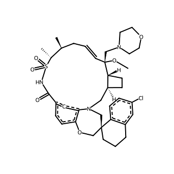 CO[C@@]1(CN2CCOCC2)/C=C/C[C@H](C)[C@@H](C)S(=O)(=O)NC(=O)c2ccc3c(c2)N(C[C@@H]2CC[C@H]21)C[C@@]1(CCCc2cc(Cl)ccc21)CO3